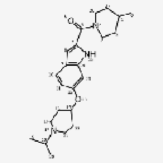 CC1CCN(C(=O)c2cc3ccc(OC4CCN(C(C)C)CC4)cc3[nH]2)CC1